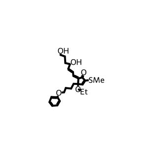 CCOC1(CCCCOc2ccccc2)C=C(SC)C(=O)C1=CC=CC(O)CCCO